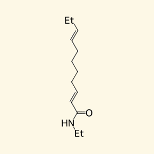 CCC=CCCCCC=CC(=O)NCC